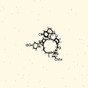 CCO[C@]1(CN2CCN(C(C)(C)C)CC2)/C=C/C[C@H](C)[C@@H](CCOC)S(=O)(=O)NC(=O)c2ccc3c(c2)N(C[C@@H]2CC[C@H]21)C[C@@]1(CCCc2cc(Cl)ccc21)CO3